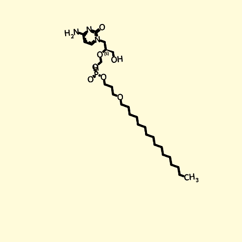 CCCCCCCCCCCCCCCCOCCCO[PH](=O)OCO[C@H](CO)Cn1ccc(N)nc1=O